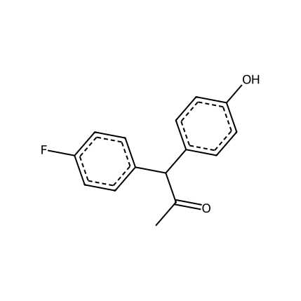 CC(=O)C(c1ccc(O)cc1)c1ccc(F)cc1